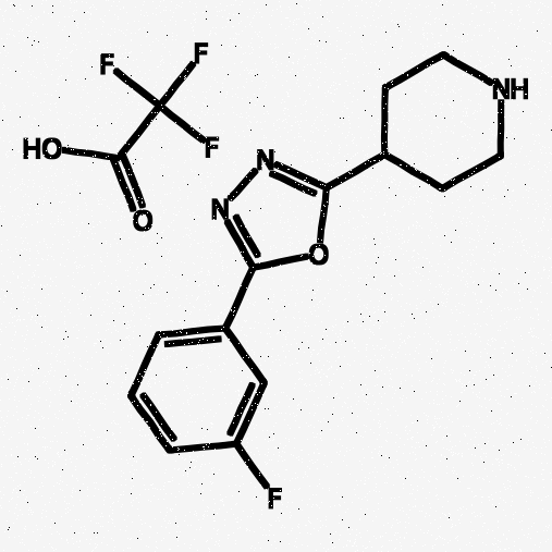 Fc1cccc(-c2nnc(C3CCNCC3)o2)c1.O=C(O)C(F)(F)F